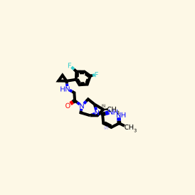 CC(=N)/C=C\C(=N)N1C2C[C@H](C)C1CN(C(=O)CNC1(c3ccc(F)cc3F)CC1)C2